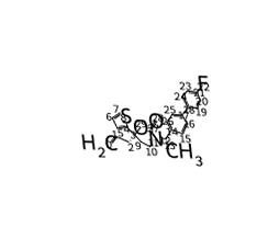 C=CC[C@@]1(c2cccs2)CCN([C@@H](C)c2ccc(-c3ccc(F)cc3)cc2)C(=O)O1